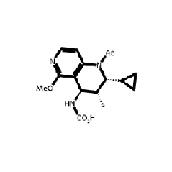 COc1nccc2c1[C@H](NC(=O)O)[C@@H](C)[C@@H](C1CC1)N2C(C)=O